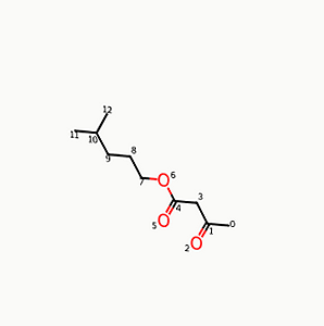 CC(=O)CC(=O)OCCCC(C)C